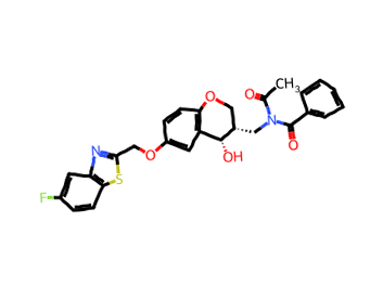 CC(=O)N(C[C@H]1COc2ccc(OCc3nc4cc(F)ccc4s3)cc2[C@H]1O)C(=O)c1ccccc1